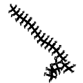 FC(F)(F)C(F)(F)O[Si](OC(F)(F)C(F)(F)F)(OC(F)(C(F)(F)F)C(F)(F)C(F)(F)C(F)(F)C(F)(F)C(F)(F)C(F)(F)C(F)(F)C(F)(F)C(F)(F)C(F)(F)C(F)(F)C(F)(F)C(F)(F)F)C(F)(F)C(F)(F)F